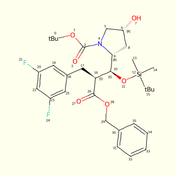 CC(C)(C)OC(=O)N1C[C@H](O)C[C@@H]1[C@@H](O[Si](C)(C)C(C)(C)C)[C@H](Cc1cc(F)cc(F)c1)C(=O)OCc1ccccc1